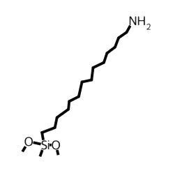 CO[Si](C)(CCCCCCCCCCCCCCN)OC